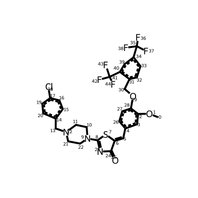 COc1cc(/C=C2\SC(N3CCN(Cc4ccc(Cl)cc4)CC3)=NC2=O)ccc1OCc1ccc(C(F)(F)F)cc1C(F)(F)F